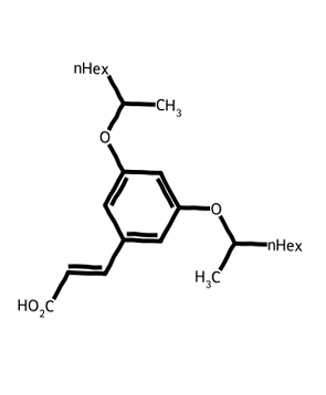 CCCCCCC(C)Oc1cc(/C=C/C(=O)O)cc(OC(C)CCCCCC)c1